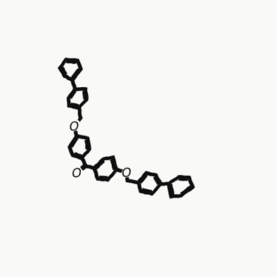 O=C(c1ccc(OCc2ccc(-c3ccccc3)cc2)cc1)c1ccc(OCc2ccc(-c3ccccc3)cc2)cc1